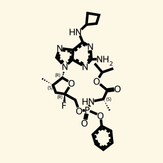 CC(C)OC(=O)[C@H](C)NP(=O)(OC[C@]1(F)C[C@H](C)[C@H](n2cnc3c(NC4CCC4)nc(N)nc32)O1)Oc1ccccc1